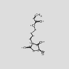 C=CC(=O)OCCCCN1C(=O)CC(Br)C1=O